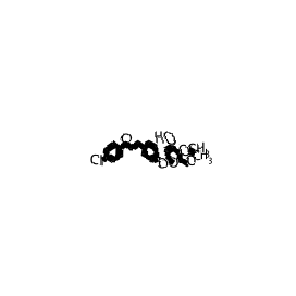 CC1(C)OCC2OC(Oc3ccc(/C=C/C(=O)c4ccc(Cl)cc4)cc3)CC(O)C2O1